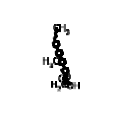 C=C(CO)C(=O)OC1CCC(c2ccc(C3CCC(C4CCC(CCCCC)CC4)CC3)c(C)c2)CC1